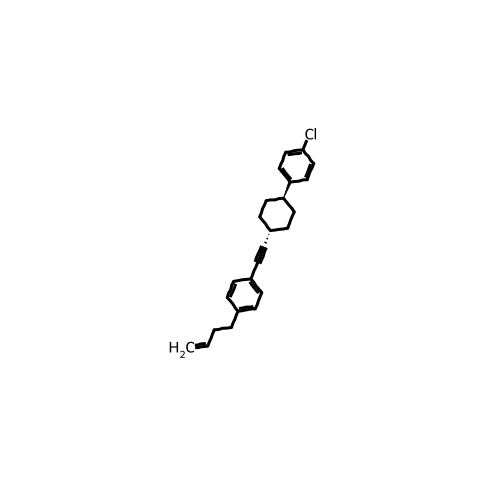 C=CCCc1ccc(C#C[C@H]2CC[C@H](c3ccc(Cl)cc3)CC2)cc1